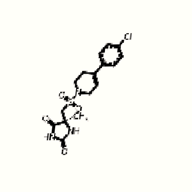 C[C@]1(CS(=O)(=O)N2CC=C(c3ccc(Cl)cc3)CC2)NC(=O)NC1=O